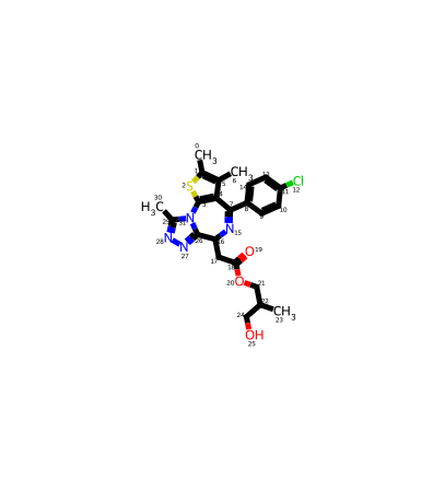 Cc1sc2c(c1C)C(c1ccc(Cl)cc1)=NC(CC(=O)OCC(C)CO)c1nnc(C)n1-2